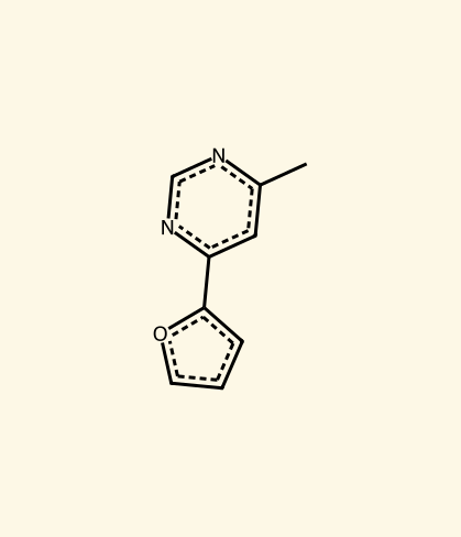 Cc1cc(-c2ccco2)ncn1